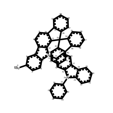 CC(C)(C)c1ccc2c(c1)c1ccc3c(c1n2-c1ccc2c4ccccc4n(-c4ccccc4)c2c1)C1(c2ccccc2-c2ccccc21)c1ccccc1-3